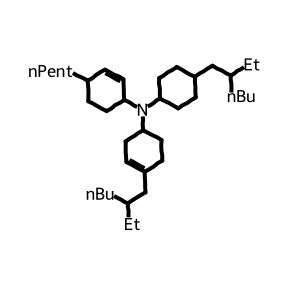 CCCCCC1C=CC(N(C2CC=C(CC(CC)CCCC)CC2)C2CCC(CC(CC)CCCC)CC2)CC1